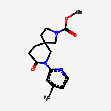 CC(C)(C)OC(=O)N1CCC2(CCC(=O)N(c3cc(C(F)(F)F)ccn3)C2)C1